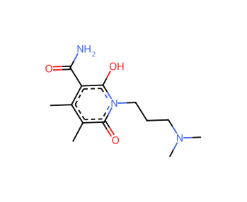 Cc1c(C(N)=O)c(O)n(CCCN(C)C)c(=O)c1C